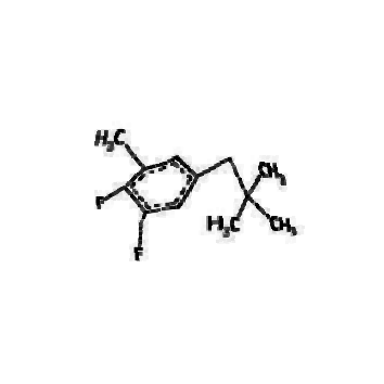 Cc1cc(CC(C)(C)C)cc(F)c1F